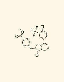 COC(=O)c1ccc(CC2Cc3c(cccc3-c3ccc(Cl)c(C(F)(F)F)c3)C2=O)cc1